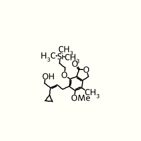 COc1c(C)c2c(c(OCC[Si](C)(C)C)c1C/C=C(/CO)C1CC1)C(=O)OC2